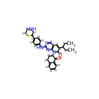 CCC(CC)c1cc2cnc(Nc3ccc(C4CNCCS4)cc3)nc2n(C2CCc3ccccc3C2=O)c1=O